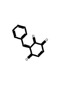 O=C1C=CC(=O)/C(=C/c2ccccc2)C1=O